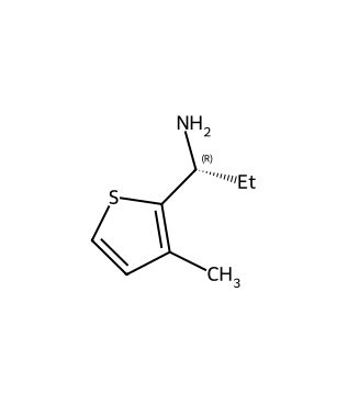 CC[C@@H](N)c1sccc1C